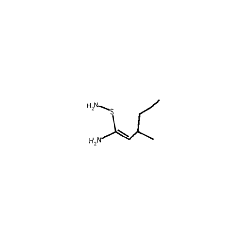 CCC(C)/C=C(/N)SN